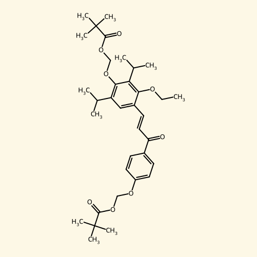 CCOc1c(C=CC(=O)c2ccc(OCOC(=O)C(C)(C)C)cc2)cc(C(C)C)c(OCOC(=O)C(C)(C)C)c1C(C)C